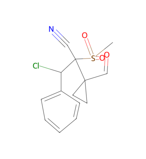 CS(=O)(=O)C(C#N)(C(Cl)c1ccccc1)C1(C=O)CC1